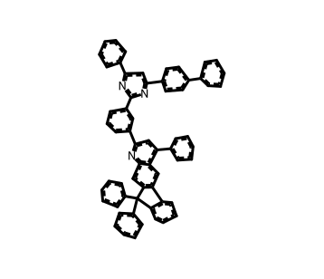 c1ccc(-c2ccc(-c3cc(-c4ccccc4)nc(-c4cccc(-c5cc(-c6ccccc6)c6cc7c(cc6n5)C(c5ccccc5)(c5ccccc5)c5ccccc5-7)c4)n3)cc2)cc1